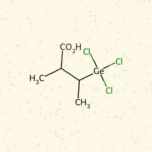 CC(C(=O)O)[CH](C)[Ge]([Cl])([Cl])[Cl]